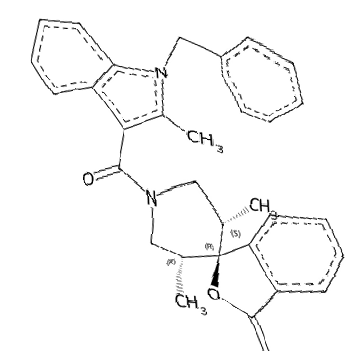 Cc1c(C(=O)N2C[C@@H](C)[C@]3(OC(=O)c4ccccc43)[C@@H](C)C2)c2ccccc2n1Cc1ccccc1